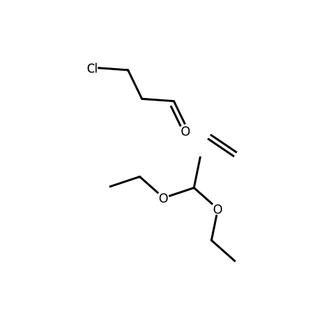 C=C.CCOC(C)OCC.O=CCCCl